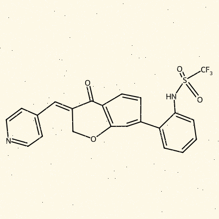 O=C1C(=Cc2ccncc2)COc2cc(-c3ccccc3NS(=O)(=O)C(F)(F)F)ccc21